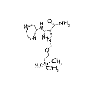 C[Si](C)(C)CCOCn1cc(C(N)=O)c(Nc2cnccn2)n1